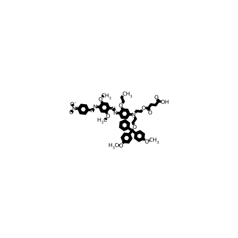 CCCOc1cc(N(CCOC(=O)CCC(=O)O)CCOC(c2ccccc2)(c2ccc(OC)cc2)c2ccc(OC)cc2)ccc1N=Nc1cc(OC)c(N=Nc2ccc([N+](=O)[O-])cc2)cc1OC